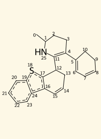 CC1CCC(C2=CC=CCC2)=C(C2CC=Cc3c2sc2ccccc32)N1